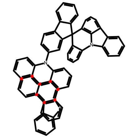 c1ccc(-c2ccccc2-c2ccccc2N(c2ccc3c(c2)C2(c4ccccc4-3)c3ccccc3-n3c4ccccc4c4cccc2c43)c2ccccc2-c2ccc3oc4ccccc4c3c2)cc1